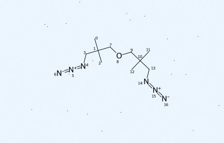 CC(C)(CN=[N+]=[N-])COCC(C)(C)CN=[N+]=[N-]